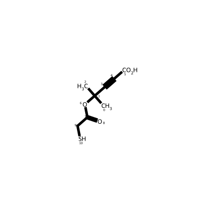 CC(C)(C#CC(=O)O)OC(=O)CS